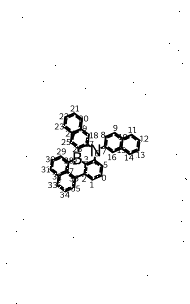 c1cc2c3c(c1)N(c1ccc4ccccc4c1)c1cc4ccccc4cc1B3c1cccc3cccc-2c13